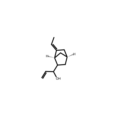 C=CC(O)C1C[C@@H]2CC(=CC)[C@H]1C2